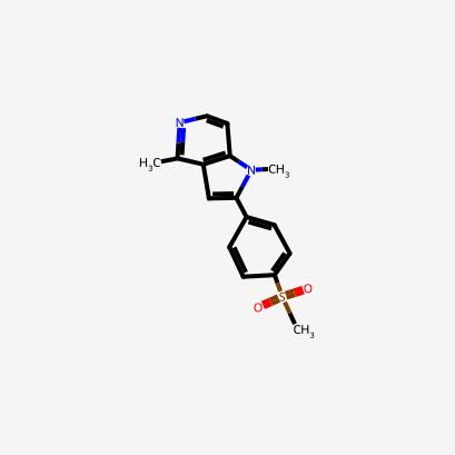 Cc1nccc2c1cc(-c1ccc(S(C)(=O)=O)cc1)n2C